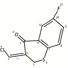 O=C1/C(=C\Cl)CSc2ccc(F)cc21